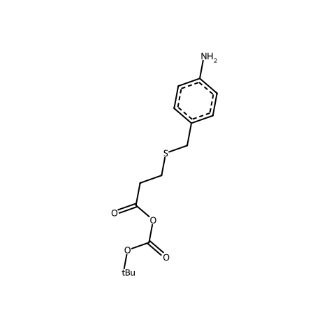 CC(C)(C)OC(=O)OC(=O)CCSCc1ccc(N)cc1